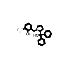 Oc1c(CN2CCC[C@H]2C(O)(c2ccccc2)c2ccccc2)cccc1C(F)(F)F